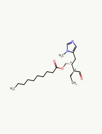 CCCCCCCCCC(=O)OC[C@H](Cc1cncn1C)[C@@H](C=O)CC